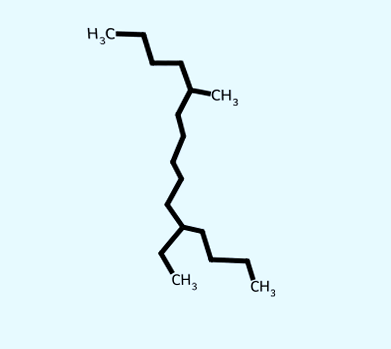 CCCCC(C)CCCCCC(CC)CCCC